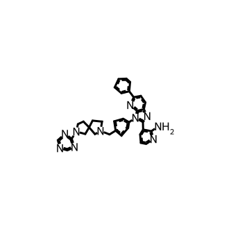 Nc1ncccc1-c1nc2ccc(-c3ccccc3)nc2n1-c1ccc(CN2CCC3(CCN(c4ncncn4)C3)C2)cc1